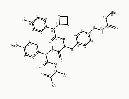 COc1ccc(C(NC(=O)C(Cc2ccc(CNC(=O)OC(C)(C)C)cc2)NC(=O)C(c2ccc(Cl)cc2)C2CCC2)C(=O)NC(C(=O)C(F)(F)F)C(C)C)cc1